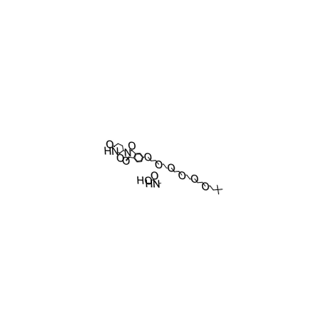 CC(C)(C)CCOCCOCCOCCOCCOCCOc1ccc2c(c1)C(=O)N(C1CCC(=O)NC1=O)C2=O.CNC(=O)O